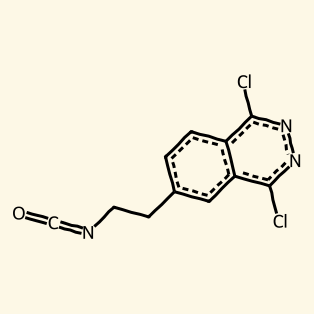 O=C=NCCc1ccc2c(Cl)nnc(Cl)c2c1